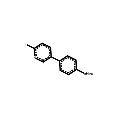 CCCCCCc1ccc(-c2ccc(F)nc2)cc1